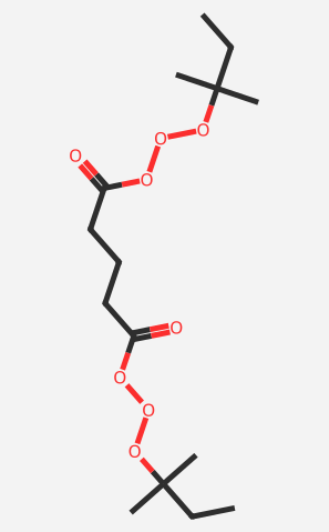 CCC(C)(C)OOOC(=O)CCCC(=O)OOOC(C)(C)CC